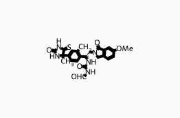 COc1ccc2c(c1)C(=O)N(C[C@H](NC(=O)NC=O)c1ccc(C3(C)NC(=O)NC3=S)cc1C)C2